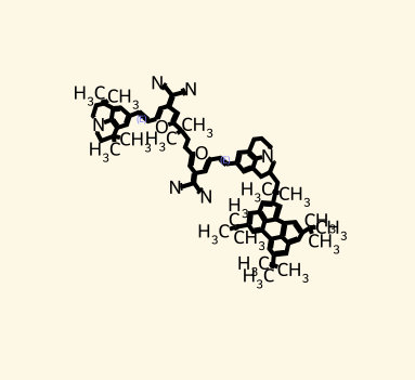 CC(C)(CCC1=CC(=C(C#N)C#N)C=C(/C=C/c2cc3c4c(c2)CC(CC(C)(C)c2cc5cc(C(C)(C)C)cc6c7cc(C(C)(C)C)cc8cc(C(C)(C)C)cc(c(c2)c56)c87)CN4CCC3)O1)C1=CC(=C(C#N)C#N)C=C(/C=C/c2cc3c4c(c2)C(C)(C)CCN4CCC3(C)C)O1